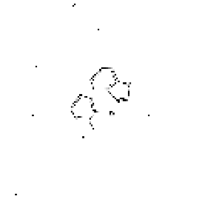 Fc1ccccc1Br.c1ccc2ocnc2c1